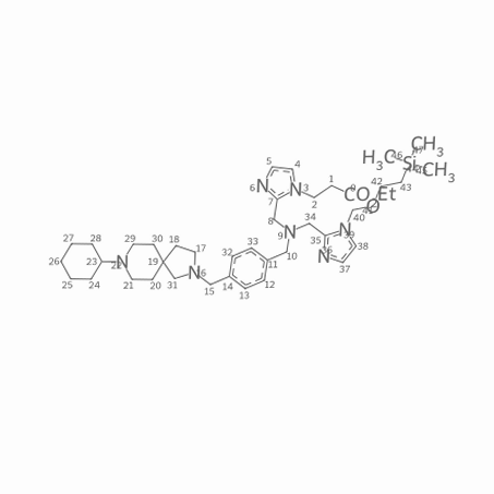 CCOC(=O)CCn1ccnc1CN(Cc1ccc(CN2CCC3(CCN(C4CCCCC4)CC3)C2)cc1)Cc1nccn1COCC[Si](C)(C)C